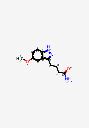 COc1ccc2[nH]nc(CCCC(N)=O)c2c1